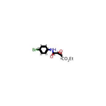 CCOC(=O)C1OC1C(=O)Nc1ccc(Br)cc1